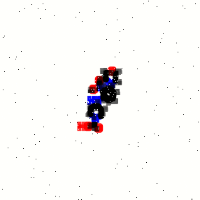 O=C(O)N1CCC(Nc2cccc(N3CCOCC3)c2[N+](=O)[O-])CC1